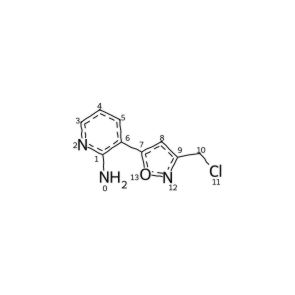 Nc1ncccc1-c1cc(CCl)no1